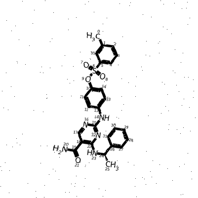 Cc1cccc(S(=O)(=O)Oc2ccc(Nc3ncc(C(N)=O)c(N[C@H](C)c4ccccc4)n3)cc2)c1